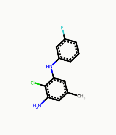 Cc1cc(N)c(Cl)c(Nc2cccc(F)c2)c1